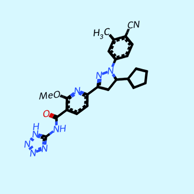 COc1nc(C2=NN(c3ccc(C#N)c(C)c3)C(C3CCCC3)C2)ccc1C(=O)Nc1nnn[nH]1